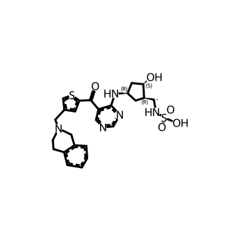 O=C(c1cc(CN2CCc3ccccc3C2)cs1)c1cncnc1N[C@H]1C[C@H](O)[C@@H]([CH]NS(=O)(=O)O)C1